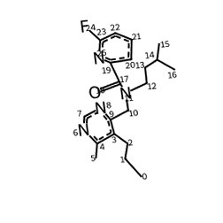 CCCc1c(C)ncnc1CN(CCC(C)C)C(=O)c1cccc(F)n1